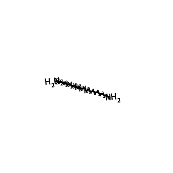 NCCCCCCCCCCCCCCCCCCCCCCN